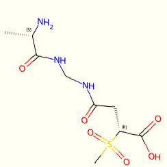 C[C@H](N)C(=O)NCNC(=O)C[C@H](C(=O)O)S(C)(=O)=O